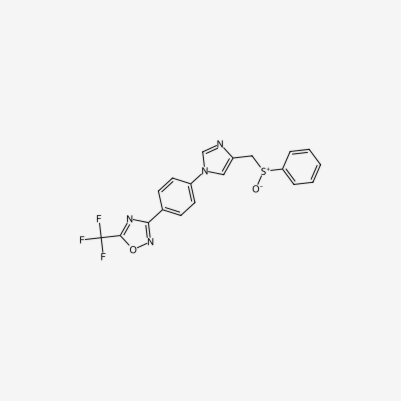 [O-][S+](Cc1cn(-c2ccc(-c3noc(C(F)(F)F)n3)cc2)cn1)c1ccccc1